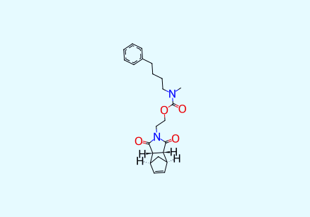 CN(CCCCc1ccccc1)C(=O)OCCN1C(=O)[C@@H]2[C@H](C1=O)[C@H]1C=C[C@@H]2C1